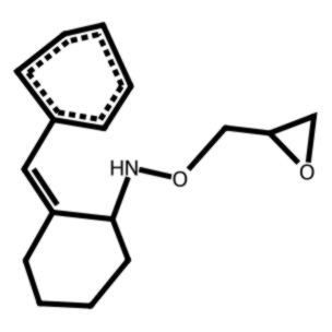 C(=C1CCCCC1NOCC1CO1)c1ccccc1